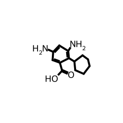 Nc1cc(N)c(C2CCCCC2)c(C(=O)O)c1